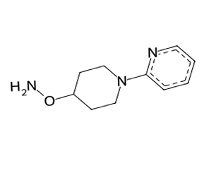 NOC1CCN(c2ccccn2)CC1